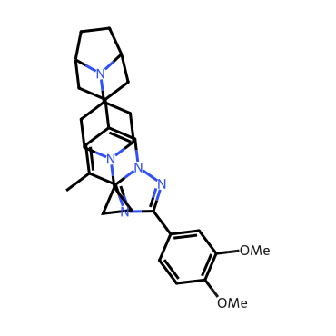 COc1ccc(-c2nc3c(C)cc(C4CC5CCC(C4)N5C4CCN(C5CC5)CC4)cn3n2)cc1OC